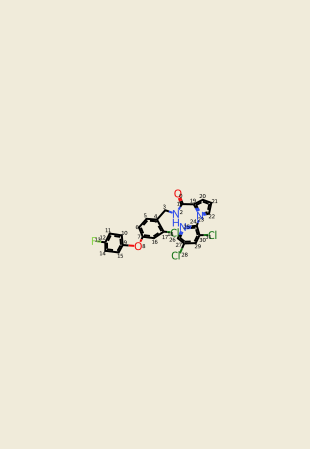 O=C(NCc1ccc(Oc2ccc(F)cc2)cc1Cl)c1cccn1-c1ncc(Cl)cc1Cl